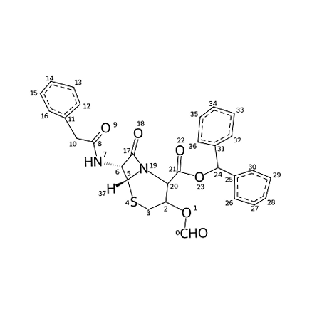 O=COC1CS[C@@H]2[C@H](NC(=O)Cc3ccccc3)C(=O)N2C1C(=O)OC(c1ccccc1)c1ccccc1